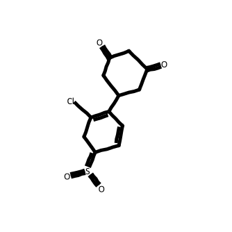 O=C1CC(=O)CC(C2=C(Cl)CC(=S(=O)=O)C=C2)C1